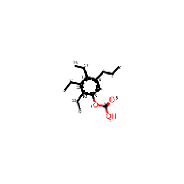 CCCc1cc(OC(=O)O)c(CC)c(CC)c1CC